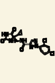 O=C1NC(=O)[C@](CNC(=O)c2cnn(-c3ccc(Cl)cc3Cl)n2)(C2CC2)N1